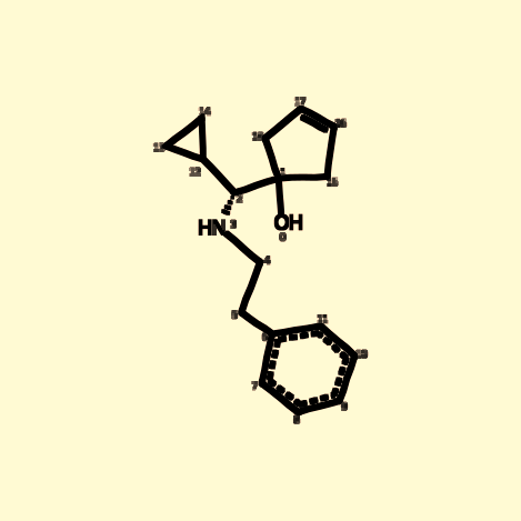 OC1([C@H](NCCc2ccccc2)C2CC2)CC=CC1